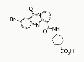 O=C(N[C@H]1CC[C@@H](C(=O)O)CC1)c1cccn2c(=O)c3cc(Br)ccc3nc12